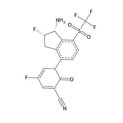 N#CC1=CC(F)=CC(c2ccc(S(=O)(=O)C(F)(F)F)c3c2C[C@H](F)[C@@H]3N)C1=O